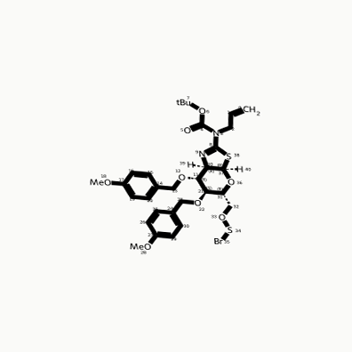 C=CCN(C(=O)OC(C)(C)C)C1=N[C@@H]2[C@@H](OCc3ccc(OC)cc3)[C@H](OCc3ccc(OC)cc3)[C@@H](COSBr)O[C@@H]2S1